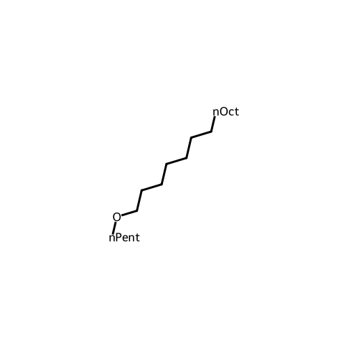 [CH2]CCCCOCCCCCCCCCCCCCCC